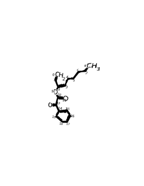 C=CC(=CCCCCC)OC(=O)C(=O)c1ccccc1